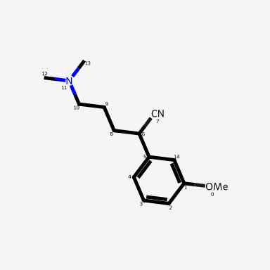 COc1cccc(C(C#N)CCCN(C)C)c1